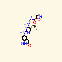 CN(CCNc1nc(Nc2ccc3c(c2)CC(=O)N3)ncc1C(F)(F)F)C(=O)c1ccno1